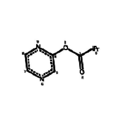 CC(C)C(=O)Oc1cnccn1